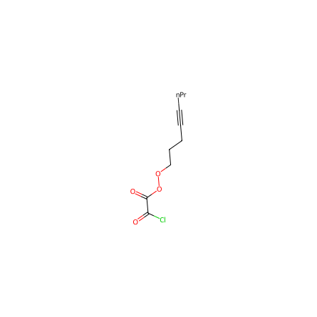 CCCC#CCCCOOC(=O)C(=O)Cl